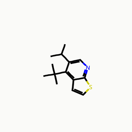 CC(C)c1cnc2sccc2c1C(C)(C)C